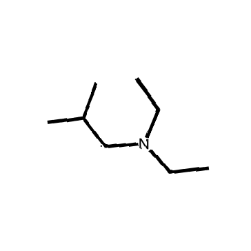 CCN([CH]C(C)C)CC